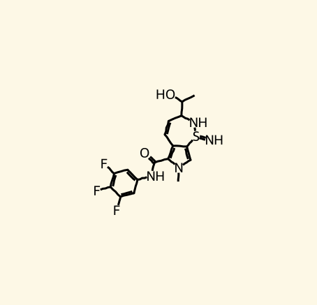 CC(O)C1C=Cc2c(cn(C)c2C(=O)Nc2cc(F)c(F)c(F)c2)S(=N)N1